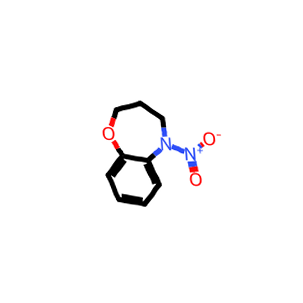 O=[N+]([O-])N1CCCOc2ccccc21